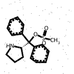 CS(=O)(=O)OC(c1ccccc1)(c1ccccc1)[C@@H]1CCCN1